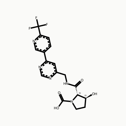 O=C(NCc1cc(-c2ccc(C(F)(F)F)nc2)ncn1)[C@@H]1[C@@H](O)CCN1C(=O)O